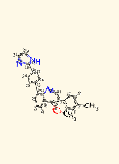 COc1c(-c2ccc(C)cc2)cnc2c(-c3ccc(-c4ncc[nH]4)cc3)cccc12